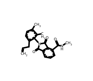 C=CCc1ccc(C)c(C)c1N1C(=O)c2cccc(C(=O)NC)c2C1=O